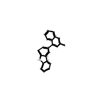 Cc1cc(-c2ccc3oc4ccccc4c3c2)c2ccccc2c1